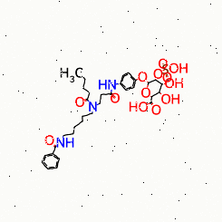 CCCCC(=O)N(CCCCCCNC(=O)c1ccccc1)CCC(=O)Nc1ccc(OC2OC(C(=O)O)C(O)C(O)C2OS(=O)(=O)O)cc1